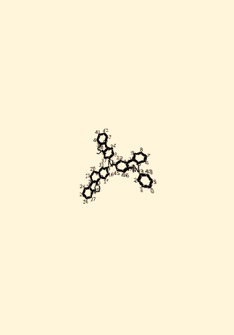 c1ccc(-n2c3ccccc3c3cc(N(c4ccc5c(ccc6c7ccccc7oc56)c4)c4ccc5c(c4)sc4ccccc45)ccc32)cc1